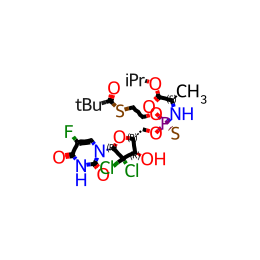 CC(C)OC(=O)[C@H](C)NP(=S)(OCCSC(=O)C(C)(C)C)OC[C@H]1O[C@@H](n2cc(F)c(=O)[nH]c2=O)C(Cl)(Cl)[C@@H]1O